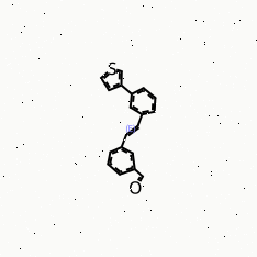 O=Cc1cccc(/C=C/c2cccc(-c3ccsc3)c2)c1